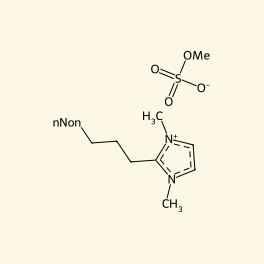 CCCCCCCCCCCCc1n(C)cc[n+]1C.COS(=O)(=O)[O-]